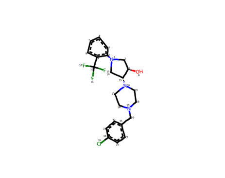 O[C@@H]1CN(c2ccccc2C(F)(F)F)C[C@H]1N1CCN(Cc2ccc(Cl)cc2)CC1